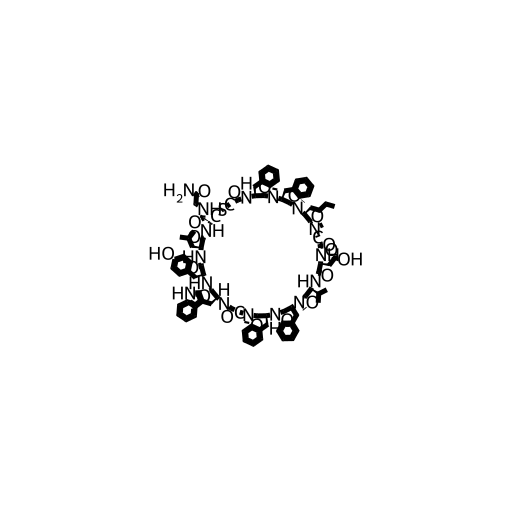 CCCC[C@H]1C(=O)N(C)CC(=O)N[C@@H](CC(=O)O)C(=O)N[C@@H](C(C)C)C(=O)N(C)C(Cc2ccccc2)C(=O)N[C@@H](Cc2ccccc2)C(=O)N(C)CC(=O)N[C@@H](Cc2c[nH]c3ccccc23)C(=O)N[C@@H](Cc2ccc(O)cc2)C(=O)N[C@@H](CC(C)C)C(=O)N[C@H](C(=O)NCC(N)=O)CSCC(=O)N[C@@H](Cc2ccccc2)C(=O)N(C)[C@@H](Cc2ccccc2)C(=O)N1C